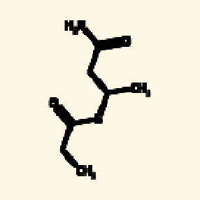 CCC(=O)SC(C)CC(N)=O